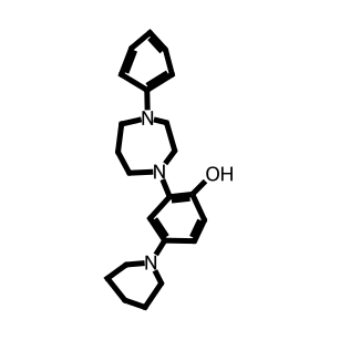 Oc1ccc(N2CCCCC2)cc1N1CCCN(c2ccccc2)CC1